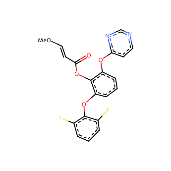 COC=CC(=O)Oc1c(Oc2ccncn2)cccc1Oc1c(F)cccc1F